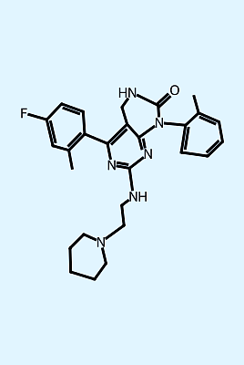 Cc1cc(F)ccc1-c1nc(NCCN2CCCCC2)nc2c1CNC(=O)N2c1ccccc1C